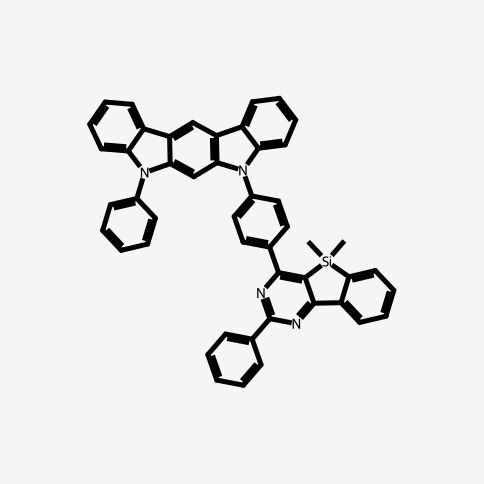 C[Si]1(C)c2ccccc2-c2nc(-c3ccccc3)nc(-c3ccc(-n4c5ccccc5c5cc6c7ccccc7n(-c7ccccc7)c6cc54)cc3)c21